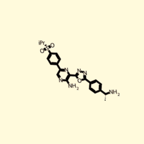 CC(C)S(=O)(=O)c1ccc(-c2cnc(N)c(-c3nnc(-c4ccc([C@@H](C)N)cc4)o3)n2)cc1